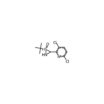 CC(C)(C)[SH]1(=O)NC1c1nc(Cl)ccc1Cl